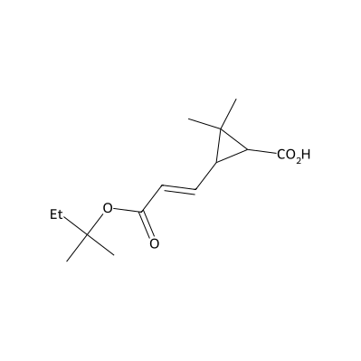 CCC(C)(C)OC(=O)/C=C/C1C(C(=O)O)C1(C)C